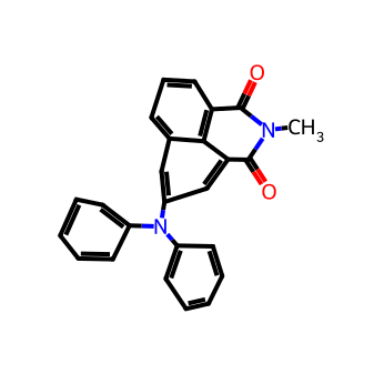 CN1C(=O)c2cccc3cc(N(c4ccccc4)c4ccccc4)cc(c23)C1=O